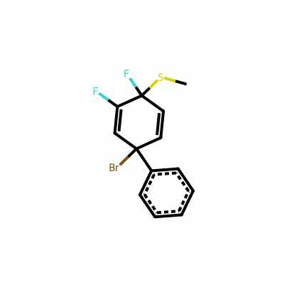 CSC1(F)C=CC(Br)(c2ccccc2)C=C1F